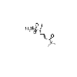 C=C/C(=C\C=C\C(=O)N(C)C)S(N)(=O)=O